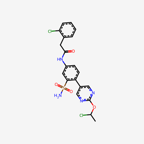 CC(Cl)Oc1ncc(-c2ccc(NC(=O)Cc3ccccc3Cl)cc2S(N)(=O)=O)cn1